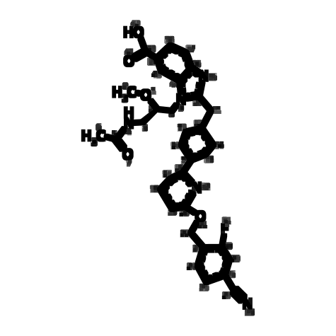 CO[C@H](CNC(C)=O)Cn1c(Cc2ccc(-c3cccc(OCc4ccc(C#N)cc4F)n3)cc2)nc2ccc(C(=O)O)cc21